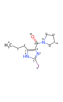 CCCc1[nH]c(I)nc1C(=O)N1CCCC1